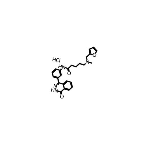 CN(CCCCC(=O)Nc1cccc(-c2n[nH]c(=O)c3ccccc23)c1)Cc1ccco1.Cl